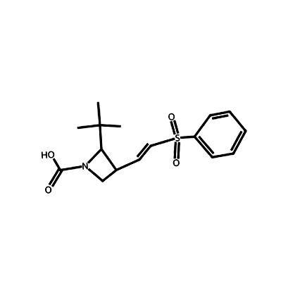 CC(C)(C)C1C(C=CS(=O)(=O)c2ccccc2)CN1C(=O)O